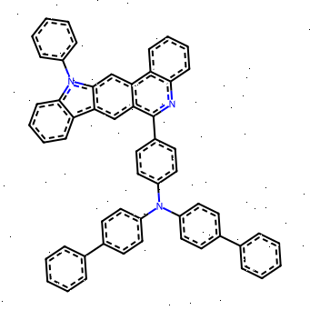 c1ccc(-c2ccc(N(c3ccc(-c4ccccc4)cc3)c3ccc(-c4nc5ccccc5c5cc6c(cc45)c4ccccc4n6-c4ccccc4)cc3)cc2)cc1